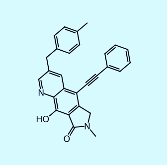 Cc1ccc(Cc2cnc3c(O)c4c(c(C#Cc5ccccc5)c3c2)CN(C)C4=O)cc1